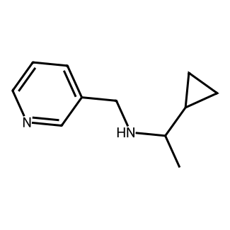 CC(NCc1cccnc1)C1CC1